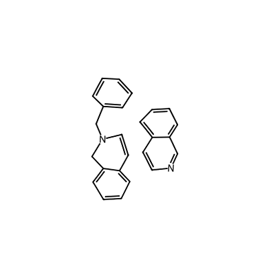 C1=CN(Cc2ccccc2)Cc2ccccc21.c1ccc2cnccc2c1